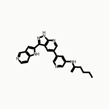 C=C(CCCC)Nc1cncc(-c2cnc3[nH]nc(-c4cc5cnccc5[nH]4)c3c2)c1